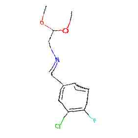 COC(CN=Cc1ccc(F)c(Cl)c1)OC